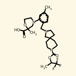 Cc1ccc(CN2CCC3(CCN(C(=O)OC(C)C(F)(F)F)CC3)C2)c(N2CCOC(C)(C(=O)O)C2)c1